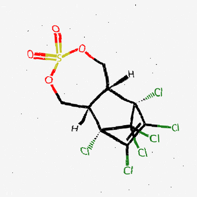 O=S1(=O)OC[C@@H]2[C@H](CO1)[C@@]1(Cl)C(Cl)=C(Cl)[C@]2(Cl)C1(Cl)Cl